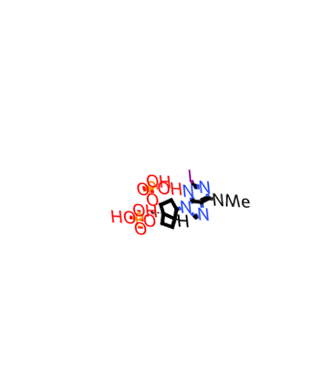 CNc1nc(I)nc2c1ncn2C1C[C@H](OP(=O)(O)O)[C@]2(COP(=O)(O)O)CC[C@H]12